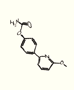 COc1cccc(-c2ccc(OC(N)=O)cc2)n1